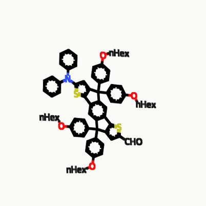 CCCCCCOc1ccc(C2(c3ccc(OCCCCCC)cc3)c3cc4c(cc3-c3sc(C=O)cc32)C(c2ccc(OCCCCCC)cc2)(c2ccc(OCCCCCC)cc2)c2cc(N(c3ccccc3)c3ccccc3)sc2-4)cc1